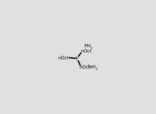 CCCCCCCCP(CCCCCCCC)CCCCCCCC.P.[TeH2]